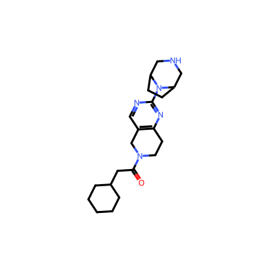 O=C(CC1CCCCC1)N1CCc2nc(N3C4CCC3CNC4)ncc2C1